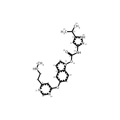 CNCCc1cc(Oc2ccc3c(ccn3OC(=O)Nc3cc(C(C)C)[nH]n3)c2)ncn1